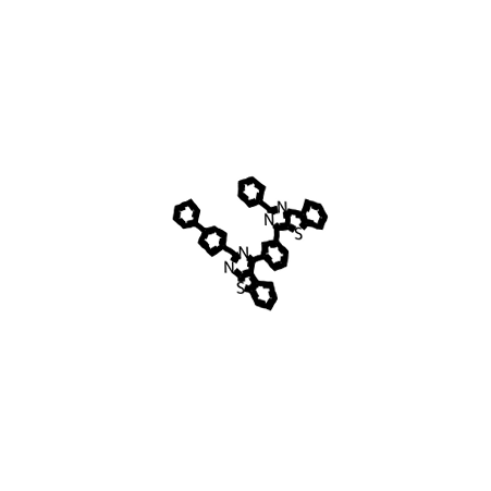 c1ccc(-c2ccc(-c3nc(-c4cccc(-c5nc(-c6ccccc6)nc6c5sc5ccccc56)c4)c4c(n3)sc3ccccc34)cc2)cc1